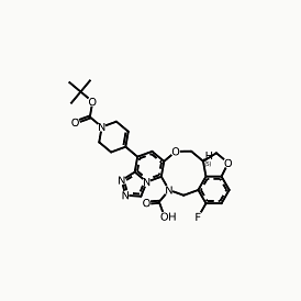 CC(C)(C)OC(=O)N1CC=C(c2cc3c(n4cnnc24)N(C(=O)O)Cc2c(F)ccc4c2[C@@H](CO4)CO3)CC1